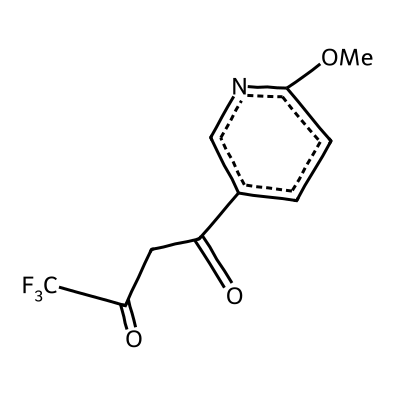 COc1ccc(C(=O)CC(=O)C(F)(F)F)cn1